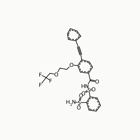 NS(=O)(=O)c1ccccc1S(=O)(=O)NC(=O)c1ccc(C#Cc2ccccc2)c(OCCOCC(F)(F)F)c1